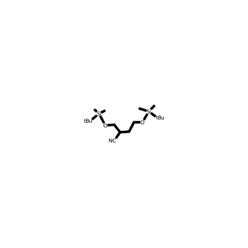 CC(C)(C)[Si](C)(C)OCCC(C#N)CO[Si](C)(C)C(C)(C)C